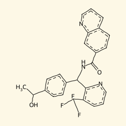 CC(O)c1ccc(C(NC(=O)c2ccc3cccnc3c2)c2ncccc2C(F)(F)F)cc1